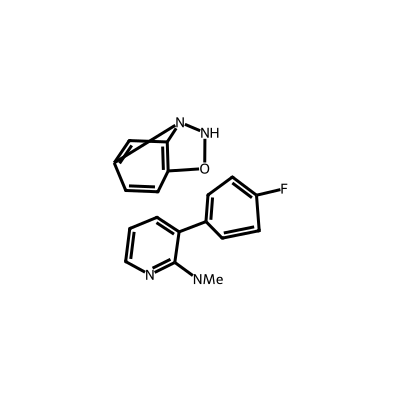 CNc1ncccc1-c1ccc(F)cc1.c1cc2cc3c1o[nH]n2-3